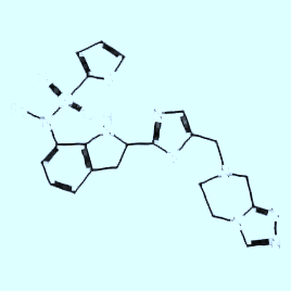 CCN(c1cccc2c1NC(c1ncc(CN3CCn4cnnc4C3)s1)C2)S(=O)(=O)c1cccs1